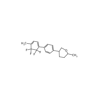 CC1=CC=C(c2ccc(C3CCC(C)OC3)cc2)C(F)(F)C1(F)F